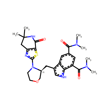 CN(C)C(=O)c1cc(C(=O)N(C)C)c2[nH]cc(C[C@H]3COCCN3c3nc4c(s3)C(=O)NC(C)(C)C4)c2c1